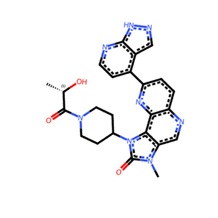 C[C@H](O)C(=O)N1CCC(n2c(=O)n(C)c3cnc4ccc(-c5ccnc6[nH]ncc56)nc4c32)CC1